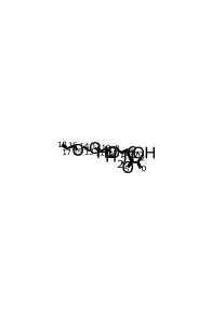 C=C(C)C(N)=O.C=CCOCCOCCOCC=C.O=C(O)O